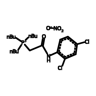 CCCC[P+](CCCC)(CCCC)CC(=O)Nc1ccc(Cl)cc1Cl.O=[N+]([O-])[O-]